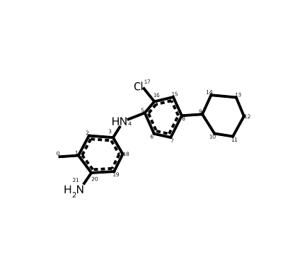 Cc1cc(Nc2ccc(C3CCCCC3)cc2Cl)ccc1N